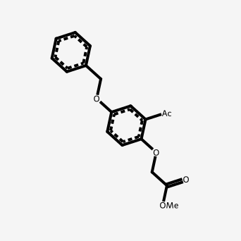 COC(=O)COc1ccc(OCc2ccccc2)cc1C(C)=O